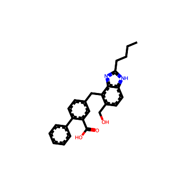 CCCCc1nc2c(Cc3ccc(-c4ccccc4)c(C(=O)O)c3)c(CO)ccc2[nH]1